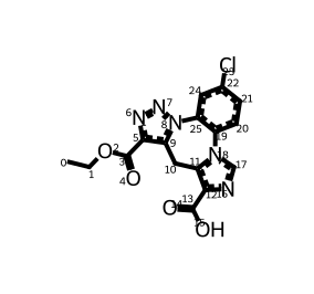 CCOC(=O)c1nnn2c1Cc1c(C(=O)O)ncn1-c1ccc(Cl)cc1-2